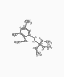 COc1c(C)cc(C)cc1CC[Si](OC)(OC)OC